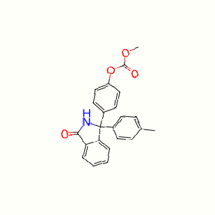 COC(=O)Oc1ccc(C2(c3ccc(C)cc3)NC(=O)c3ccccc32)cc1